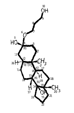 C[C@]12CC[C@@](O)(OCCCO)C[C@@H]1CC[C@@H]1[C@@H]2CC[C@]2(C)CCC[C@]12O